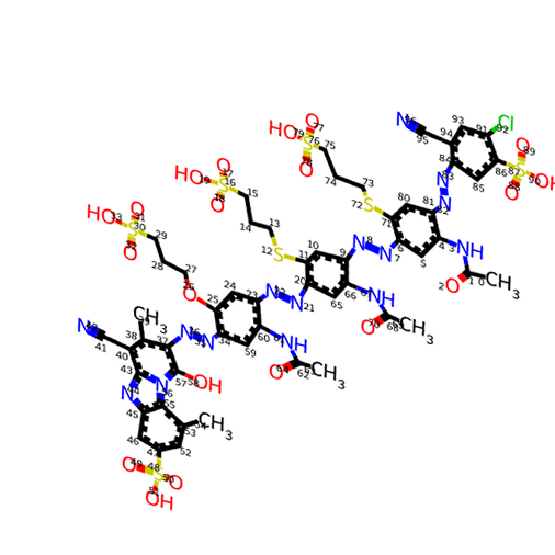 CC(=O)Nc1cc(N=Nc2cc(SCCCS(=O)(=O)O)c(N=Nc3cc(OCCCS(=O)(=O)O)c(N=Nc4c(C)c(C#N)c5nc6cc(S(=O)(=O)O)cc(C)c6n5c4O)cc3NC(C)=O)cc2NC(C)=O)c(SCCCS(=O)(=O)O)cc1N=Nc1cc(S(=O)(=O)O)c(Cl)cc1C#N